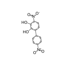 O=[N+]([O-])c1ccc(-c2ccc([N+](=O)[O-])c(O)c2O)cc1